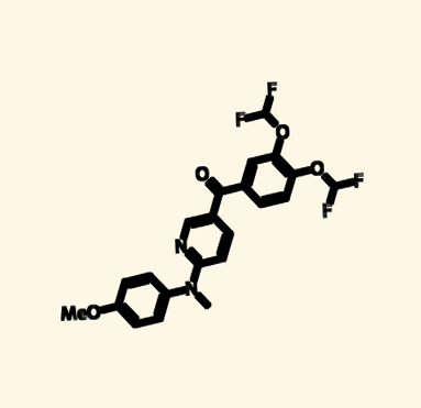 COc1ccc(N(C)c2ccc(C(=O)c3ccc(OC(F)F)c(OC(F)F)c3)cn2)cc1